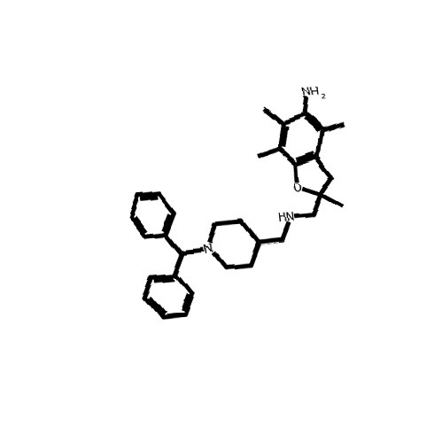 Cc1c(C)c2c(c(C)c1N)CC(C)(CNCC1CCN(C(c3ccccc3)c3ccccc3)CC1)O2